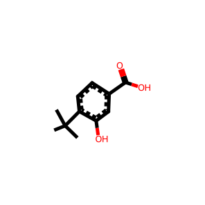 CC(C)(C)c1ccc(C(=O)O)cc1O